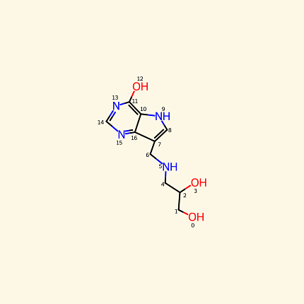 OCC(O)CNCc1c[nH]c2c(O)ncnc12